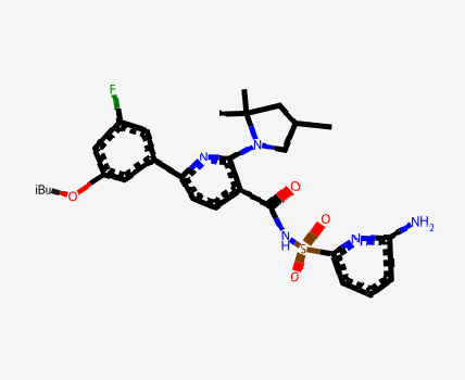 CCC(C)Oc1cc(F)cc(-c2ccc(C(=O)NS(=O)(=O)c3cccc(N)n3)c(N3CC(C)CC3(C)C)n2)c1